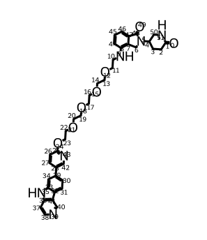 O=C1CCC(N2Cc3c(NCCOCCOCCOCCOCCOc4ccc(-c5ccc6c(c5)[nH]c5ccncc56)cn4)cccc3C2=O)CN1